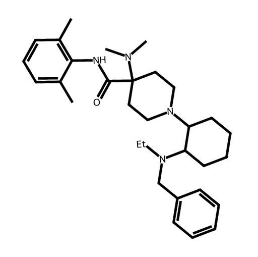 CCN(Cc1ccccc1)C1CCCCC1N1CCC(C(=O)Nc2c(C)cccc2C)(N(C)C)CC1